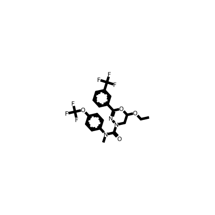 CCOC1CN(C(=O)N(C)c2ccc(OC(F)(F)F)cc2)N=C(c2cccc(C(F)(F)F)c2)O1